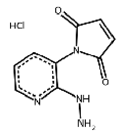 Cl.NNc1ncccc1N1C(=O)C=CC1=O